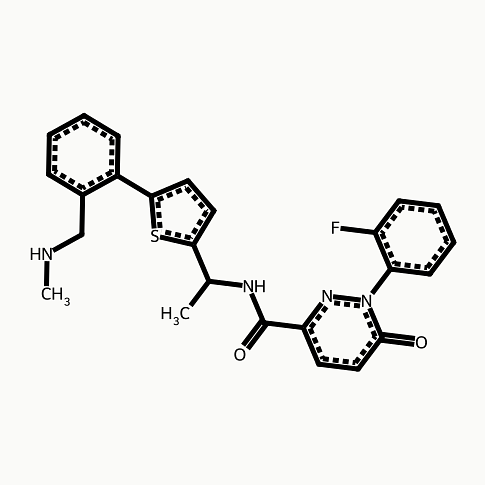 CNCc1ccccc1-c1ccc(C(C)NC(=O)c2ccc(=O)n(-c3ccccc3F)n2)s1